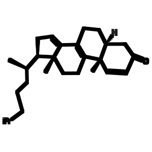 CC(C)CCC[C@@H](C)[C@H]1CC=C2C3=C(CC[C@@]21C)[C@@]1(C)C=CC(=O)C[C@@H]1CC3